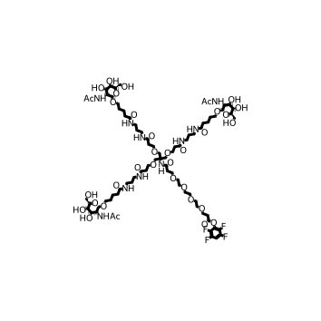 CC(=O)N[C@H]1[C@H](OCCCCC(=O)NCCCNC(=O)CCOCC(COCCC(=O)NCCCNC(=O)CCCCOC2O[C@H](CO)[C@H](O)[C@H](O)[C@H]2NC(C)=O)(COCCC(=O)NCCCNC(=O)CCCCO[C@@H]2O[C@H](CO)[C@H](O)[C@H](O)[C@H]2NC(C)=O)NC(=O)CCOCCOCCOCCOCCC(=O)Oc2c(F)c(F)cc(F)c2F)O[C@H](CO)[C@H](O)[C@@H]1O